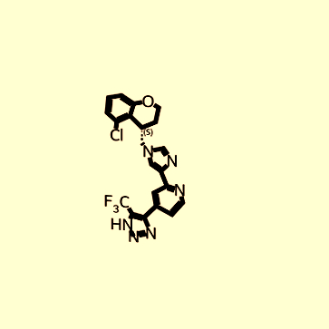 FC(F)(F)c1[nH]nnc1-c1ccnc(-c2cn(C[C@H]3CCOc4cccc(Cl)c43)cn2)c1